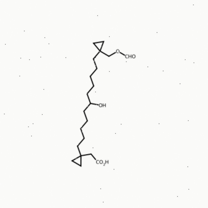 O=COCC1(CCCCCC(O)CCCCCC2(CC(=O)O)CC2)CC1